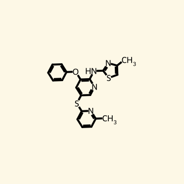 Cc1cccc(Sc2cnc(Nc3nc(C)cs3)c(Oc3ccccc3)c2)n1